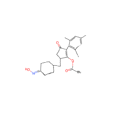 Cc1cc(C)c(C2=C(OC(=O)C(C)(C)C)C(CC3CCC(=NO)CC3)CC2=O)c(C)c1